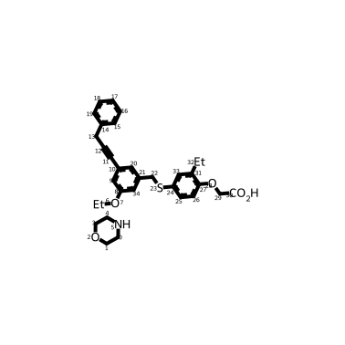 C1COCCN1.CCOc1cc(C#CCc2ccccc2)cc(CSc2ccc(OCC(=O)O)c(CC)c2)c1